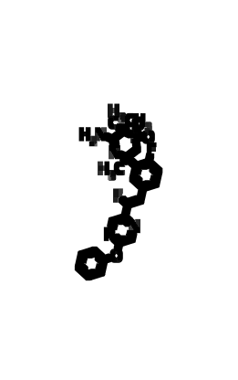 CC1(c2cc(C=C(F)c3cnc(Oc4ccccc4)cn3)ccc2F)CS(=O)(=O)C(C)(C)C(N)=N1